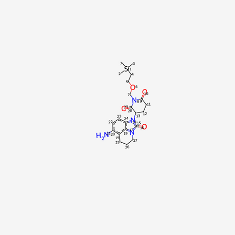 C[Si](C)(C)CCOCN1C(=O)CCC(n2c(=O)n3c4c(c(N)ccc42)CCC3)C1=O